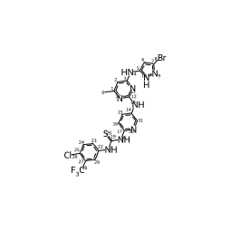 Cc1cc(Nc2cc(Br)n[nH]2)nc(Nc2ccc(NC(=S)Nc3ccc(Cl)c(C(F)(F)F)c3)nc2)n1